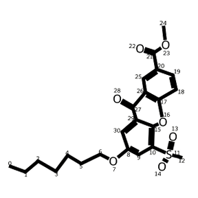 CCCCCCCOc1cc(S(C)(=O)=O)c2oc3ccc(C(=O)OC)cc3c(=O)c2c1